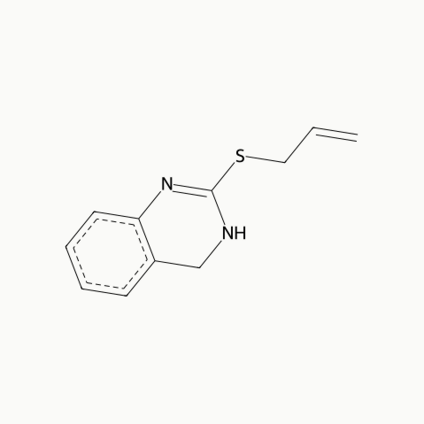 C=CCSC1=Nc2ccccc2CN1